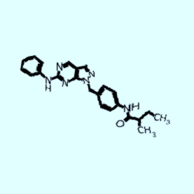 CCC(C)C(=O)Nc1ccc(Cn2ncc3cnc(Nc4ccccc4)nc32)cc1